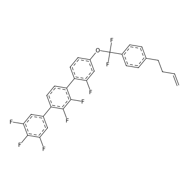 C=CCCc1ccc(C(F)(F)Oc2ccc(-c3ccc(-c4cc(F)c(F)c(F)c4)c(F)c3F)c(F)c2)cc1